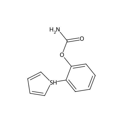 NC(=O)Oc1ccccc1[SH]1C=CC=C1